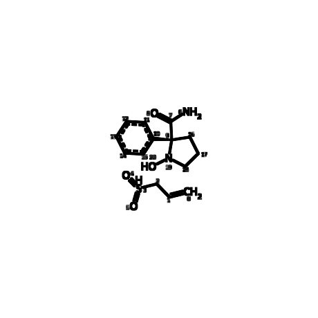 C=CC[SH](=O)=O.NC(=O)[C@]1(c2ccccc2)CCCN1O